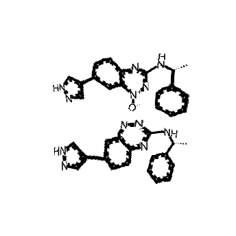 C[C@@H](Nc1nc2ccc(-c3cn[nH]c3)cc2[n+]([O-])n1)c1ccccc1.C[C@@H](Nc1nnc2cc(-c3cn[nH]c3)ccc2n1)c1ccccc1